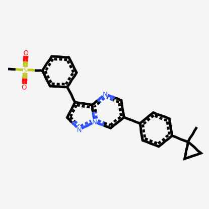 CC1(c2ccc(-c3cnc4c(-c5cccc(S(C)(=O)=O)c5)cnn4c3)cc2)CC1